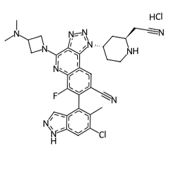 Cc1c(Cl)cc2[nH]ncc2c1-c1c(C#N)cc2c(nc(N3CC(N(C)C)C3)c3nnn([C@H]4CCN[C@H](CC#N)C4)c32)c1F.Cl